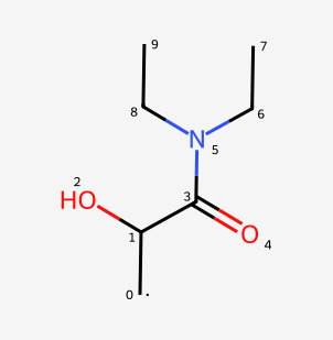 [CH2]C(O)C(=O)N(CC)CC